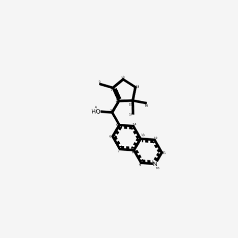 CC1=C(C(O)c2ccc3cnccc3c2)C(C)(C)CC1